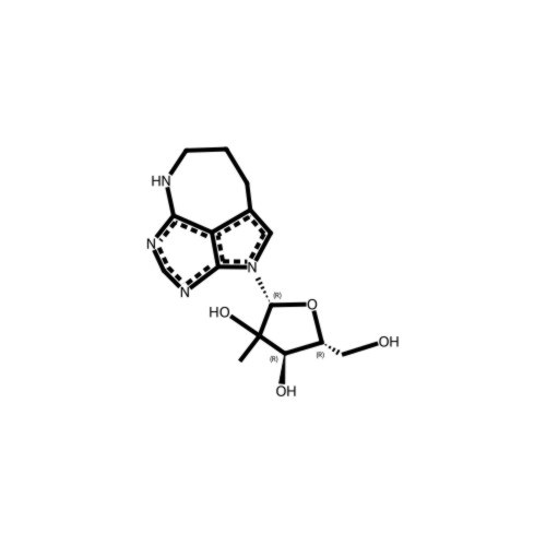 CC1(O)[C@H](O)[C@@H](CO)O[C@H]1n1cc2c3c(ncnc31)NCCC2